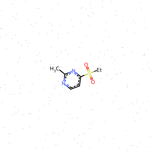 CCS(=O)(=O)c1ccnc(C)n1